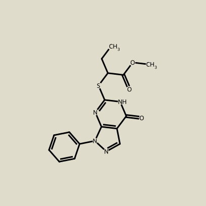 CCC(Sc1nc2c(cnn2-c2ccccc2)c(=O)[nH]1)C(=O)OC